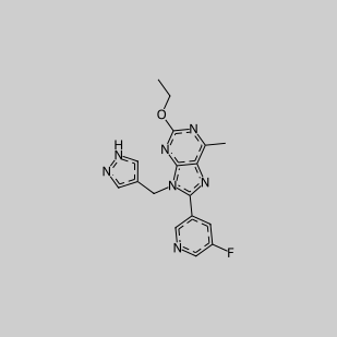 CCOc1nc(C)c2nc(-c3cncc(F)c3)n(Cc3cn[nH]c3)c2n1